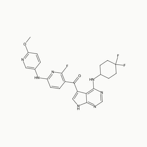 COc1ccc(Nc2ccc(C(=O)c3c[nH]c4ncnc(NC5CCC(F)(F)CC5)c34)c(F)n2)cn1